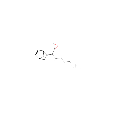 CCCCCC(C1CO1)C1CC2C=CC1C2